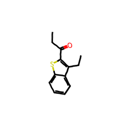 CCC(=O)c1sc2ccccc2c1CC